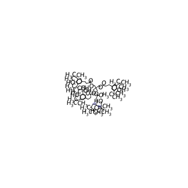 C=C(/C=C(\C=C(/CO)C(C)(C)C)CCC(=O)OCC(COC(=O)CCc1cc(C(C)(C)C)c(O)c(C(C)(C)C)c1)(COC(=O)CCc1cc(C(C)(C)C)c(O)c(C(C)(C)C)c1)COC(=O)CCc1cc(C(C)(C)C)c(O)c(C(C)(C)C)c1)C(C)(C)C